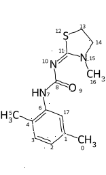 Cc1ccc(C)c(NC(=O)N=C2SCCN2C)c1